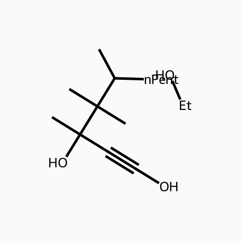 CCCCCC(C)C(C)(C)C(C)(O)C#CO.CCO